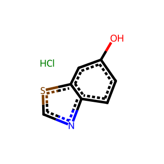 Cl.Oc1ccc2ncsc2c1